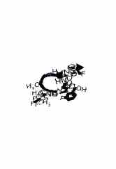 C[C@H]1CC/C=C\[C@@H]2C[C@@]2(C(=O)NS(=O)(=O)C2(CF)CC2)NC(=O)[C@@H]2C[C@H](c3c(F)cccc3C(=O)O)CN2C(=O)[C@@H](NC(=O)OC(C)(C)C(F)(F)F)[C@H](C)C1